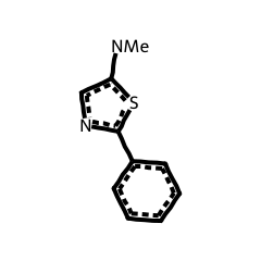 CNc1cnc(-c2ccccc2)s1